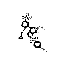 Cc1ccc(S(=O)(=O)n2ccc3c(-c4cc(S(C)(=O)=O)ccc4NCC4CC4)cn(C)c(=O)c32)cc1